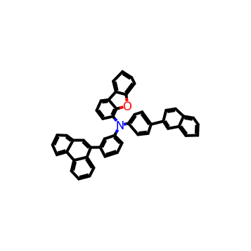 c1cc(-c2cc3ccccc3c3ccccc23)cc(N(c2ccc(-c3ccc4ccccc4c3)cc2)c2cccc3c2oc2ccccc23)c1